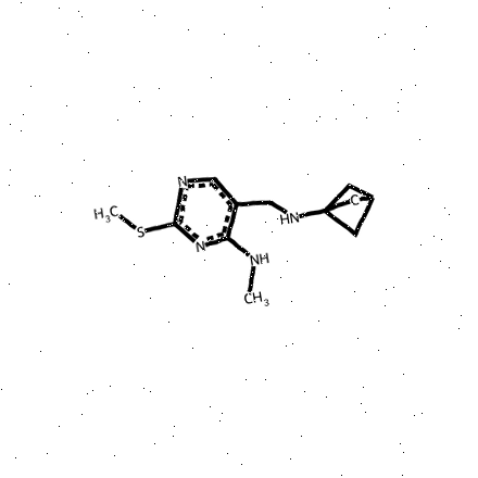 CNc1nc(SC)ncc1CNC12CC(C1)C2